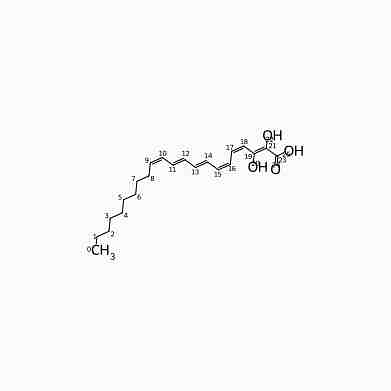 CCCCCCCCC\C=C/C=C/C=C/C=C\C=C/C(O)=C(\O)C(=O)O